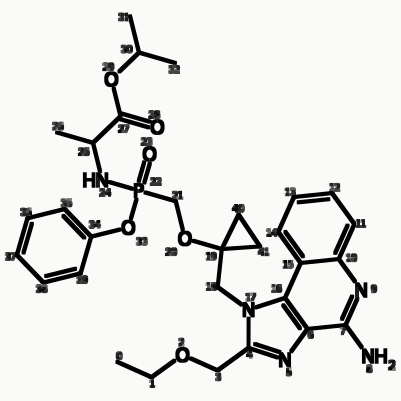 CCOCc1nc2c(N)nc3ccccc3c2n1CC1(OCP(=O)(NC(C)C(=O)OC(C)C)Oc2ccccc2)CC1